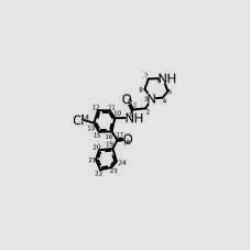 O=C(CN1CCNCC1)Nc1ccc(Cl)cc1C(=O)c1ccccc1